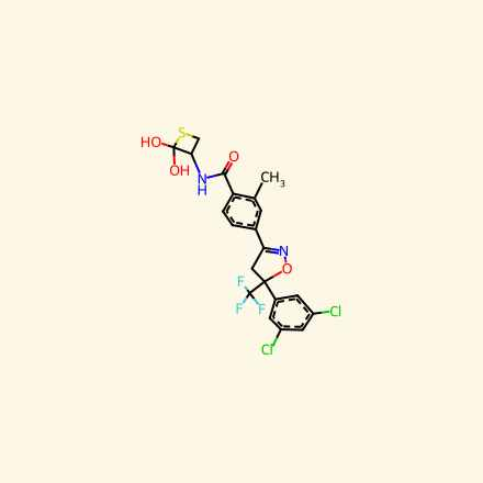 Cc1cc(C2=NOC(c3cc(Cl)cc(Cl)c3)(C(F)(F)F)C2)ccc1C(=O)NC1CSC1(O)O